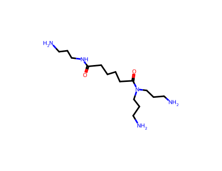 NCCCNC(=O)CCCCC(=O)N(CCCN)CCCN